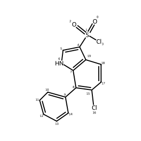 O=S(=O)(Cl)c1c[nH]c2c(-c3ccccc3)c(Cl)ccc12